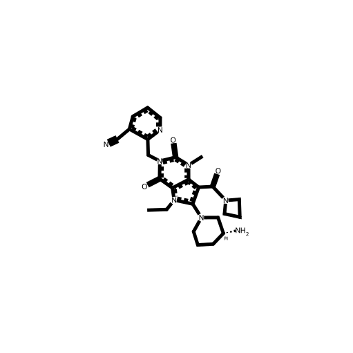 CCn1c(N2CCC[C@@H](N)C2)c(C(=O)N2CCC2)c2c1c(=O)n(Cc1ncccc1C#N)c(=O)n2C